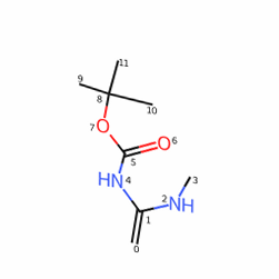 C=C(NC)NC(=O)OC(C)(C)C